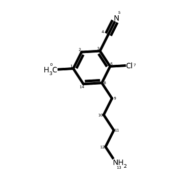 Cc1cc(C#N)c(Cl)c(CCCCN)c1